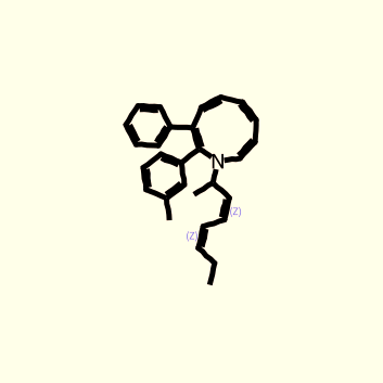 CC/C=C\C=C/C(C)n1ccccccc(-c2ccccc2)c1-c1cccc(C)c1